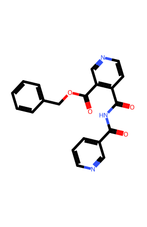 O=C(NC(=O)c1ccncc1C(=O)OCc1ccccc1)c1cccnc1